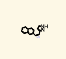 C(=C/c1cc[nH]n1)/c1ccc2ccccc2c1